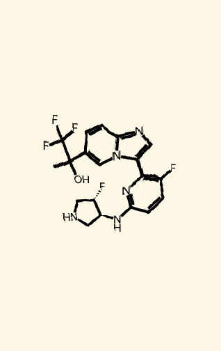 CC(O)(c1ccc2ncc(-c3nc(N[C@H]4CNC[C@@H]4F)ccc3F)n2c1)C(F)(F)F